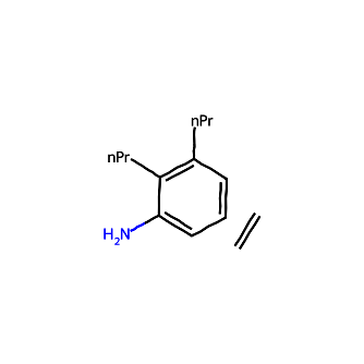 C=C.CCCc1cccc(N)c1CCC